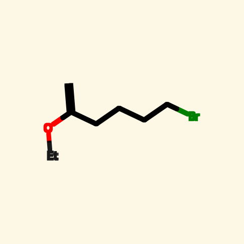 C=C(CCCCBr)OCC